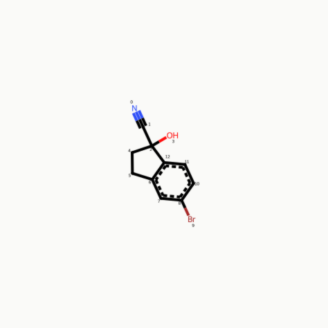 N#CC1(O)CCc2cc(Br)ccc21